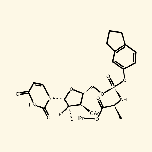 CC(=O)O[C@@H]1[C@@H](CO[P@@](=O)(N[C@@H](C)C(=O)OC(C)C)Oc2ccc3c(c2)CCC3)O[C@@H](n2ccc(=O)[nH]c2=O)[C@]1(C)F